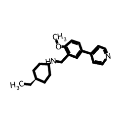 CC[C@H]1CC[C@H](NCc2cc(-c3ccncc3)ccc2OC)CC1